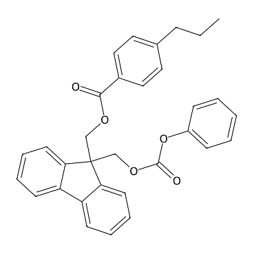 CCCc1ccc(C(=O)OCC2(COC(=O)Oc3ccccc3)c3ccccc3-c3ccccc32)cc1